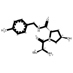 Cc1ccc(CNC(=O)[C@@H]2C[C@@H](O)CN2C(=O)[C@@H](N)C(C)(C)C)cc1